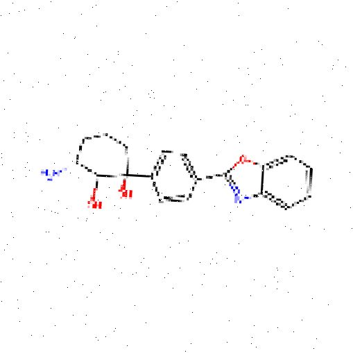 N[C@@H]1CCC[C@](O)(c2ccc(-c3nc4ccccc4o3)cc2)[C@H]1O